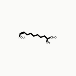 CCCCCCCC/C=C\CCCCCCC([C]=O)CCC